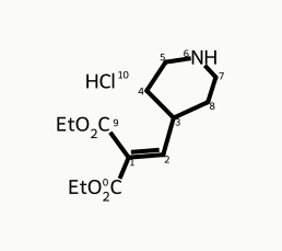 CCOC(=O)C(=CC1CCNCC1)C(=O)OCC.Cl